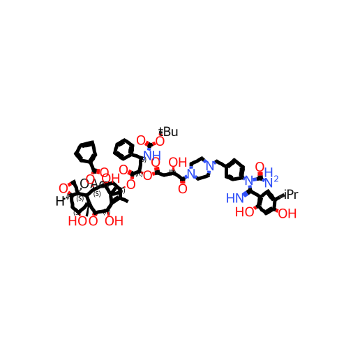 CC(=O)O[C@@]12CO[C@@H]1C[C@H](O)[C@@]1(C)C(=O)[C@H](O)C3=C(C)[C@@H](OC(=O)[C@H](OC(=O)C[C@@H](O)C(=O)N4CCN(Cc5ccc(N(C(=N)c6cc(C(C)C)c(O)cc6O)C(N)=O)cc5)CC4)[C@@H](NC(=O)OC(C)(C)C)c4ccccc4)C[C@@](O)([C@@H](OC(=O)c4ccccc4)C12)C3(C)C